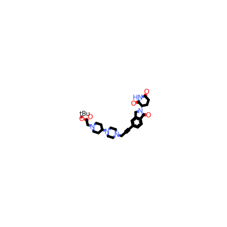 CC(C)(C)OC(=O)CN1CCC(N2CCN(CC#Cc3ccc4c(c3)CN([C@H]3CCC(=O)NC3=O)C4=O)CC2)CC1